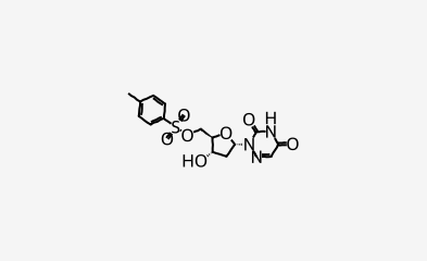 Cc1ccc(S(=O)(=O)OC[C@H]2O[C@H](n3ncc(=O)[nH]c3=O)C[C@@H]2O)cc1